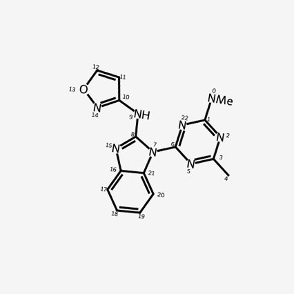 CNc1nc(C)nc(-n2c(Nc3ccon3)nc3ccccc32)n1